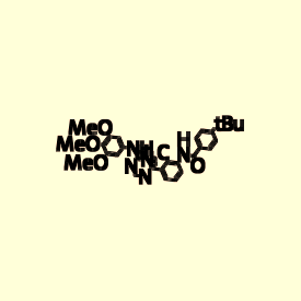 COc1cc(Nc2ncnc(-c3cccc(NC(=O)c4ccc(C(C)(C)C)cc4)c3C)n2)cc(OC)c1OC